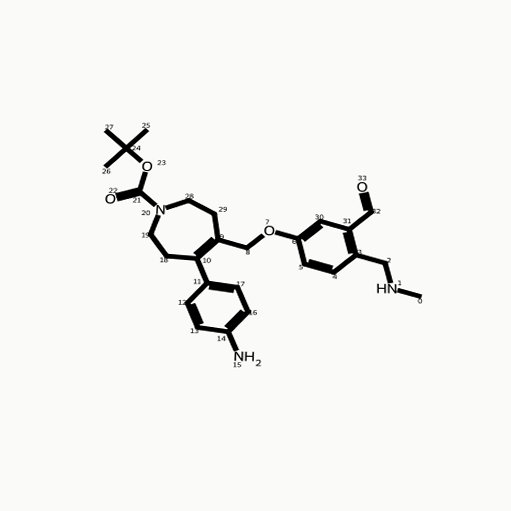 CNCc1ccc(OCC2=C(c3ccc(N)cc3)CCN(C(=O)OC(C)(C)C)CC2)cc1C=O